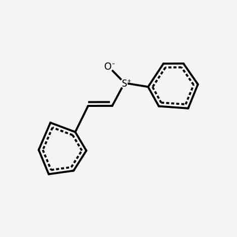 [O-][S+](/C=C/c1ccccc1)c1ccccc1